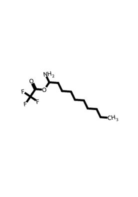 CCCCCCCCCC(N)OC(=O)C(F)(F)F